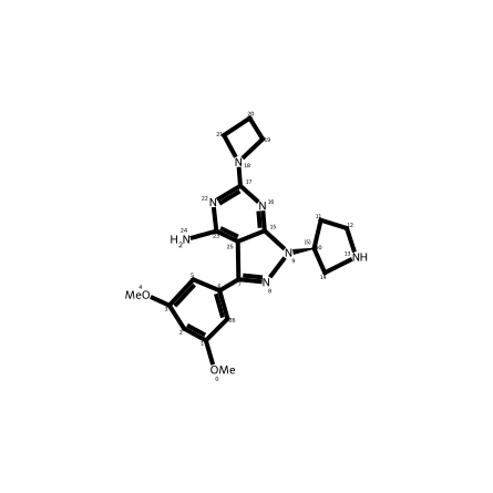 COc1cc(OC)cc(-c2nn([C@H]3CCNC3)c3nc(N4CCC4)nc(N)c23)c1